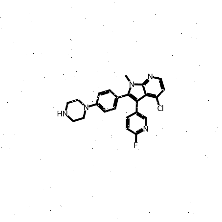 Cn1c(-c2ccc(N3CCNCC3)cc2)c(-c2ccc(F)nc2)c2c(Cl)ccnc21